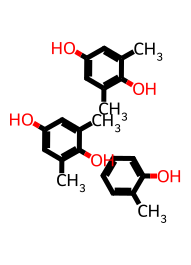 Cc1cc(O)cc(C)c1O.Cc1cc(O)cc(C)c1O.Cc1ccccc1O